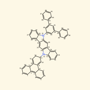 C1=CC2=C3C=CC=CC3C3=CC(n4c5ccccc5c5cc6c(cc54)c4ccccc4n6-c4cc(-c5ccccc5)cc(-c5ccccc5)c4)CC=C3C2C=C1